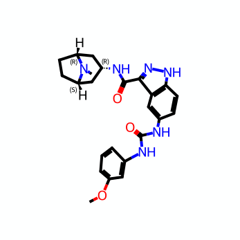 COc1cccc(NC(=O)Nc2ccc3[nH]nc(C(=O)N[C@H]4C[C@H]5CC[C@@H](C4)N5C)c3c2)c1